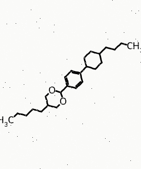 CCCCCC1COC(c2ccc(C3CCC(CCCC)CC3)cc2)OC1